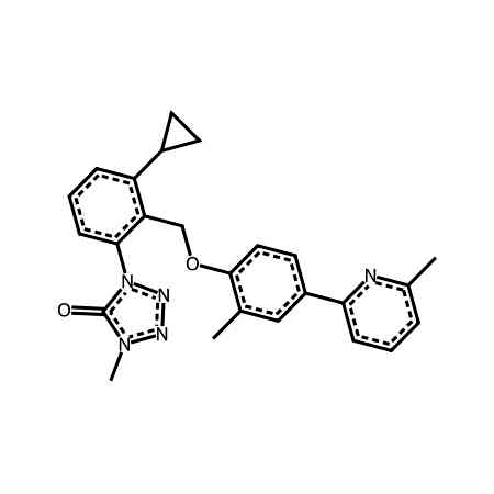 Cc1cccc(-c2ccc(OCc3c(C4CC4)cccc3-n3nnn(C)c3=O)c(C)c2)n1